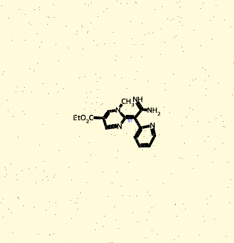 CCOC(=O)C1=CN(C)/C(=C(\C(=N)N)c2ccccn2)N=C1